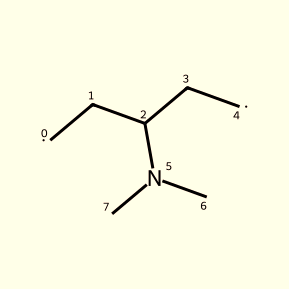 [CH2]CC(C[CH2])N(C)C